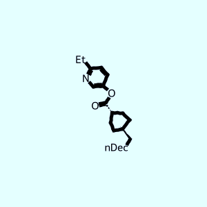 CCCCCCCCCCC[C@H]1CC[C@H](C(=O)Oc2ccc(CC)nc2)CC1